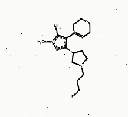 Cn1nc([C@H]2CCN(CCCF)C2)c(C2=CCCCC2)c1N